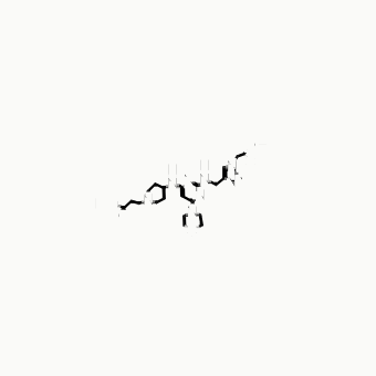 O=C(O)CCN1CCC(Nc2cc(N3CCOCC3)nc(NCc3cn(CC(=O)O)nn3)n2)CC1